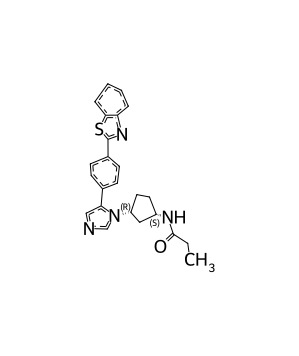 CCC(=O)N[C@H]1CC[C@@H](n2cncc2-c2ccc(-c3nc4ccccc4s3)cc2)C1